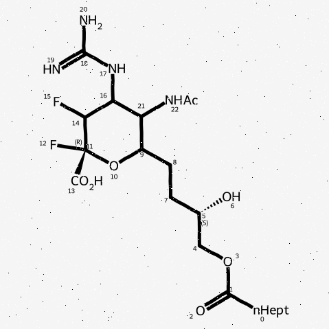 CCCCCCCC(=O)OC[C@@H](O)CCC1O[C@@](F)(C(=O)O)C(F)C(NC(=N)N)C1NC(C)=O